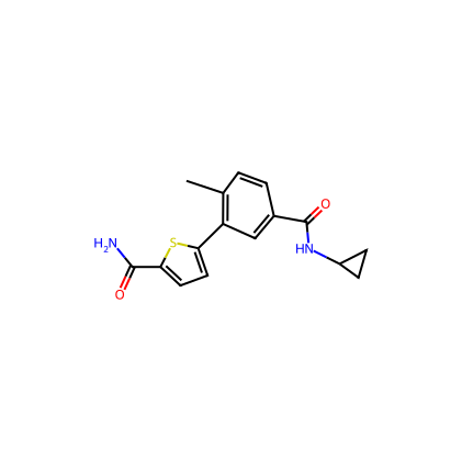 Cc1ccc(C(=O)NC2CC2)cc1-c1ccc(C(N)=O)s1